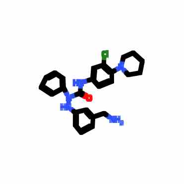 NCc1cccc(NN(C(=O)Nc2ccc(N3CCCCC3)c(Cl)c2)c2ccccc2)c1